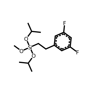 CO[Si](CCc1cc(F)cc(F)c1)(OC(C)C)OC(C)C